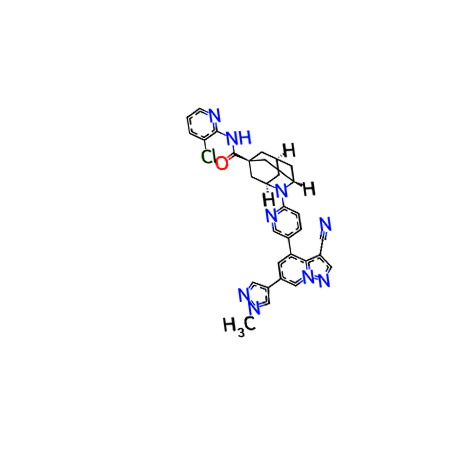 Cn1cc(-c2cc(-c3ccc(N4[C@@H]5C[C@@H]6C[C@H]4C[C@@](C(=O)Nc4ncccc4Cl)(C6)C5)nc3)c3c(C#N)cnn3c2)cn1